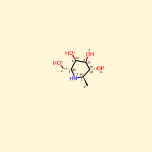 C[C@H]1N[C@H](CO)[C@@H](O)[C@@H](O)[C@@H]1O